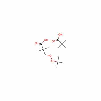 CC(C)(C)C(=O)O.CC(C)(C)OOCC(C)(C)C(=O)O